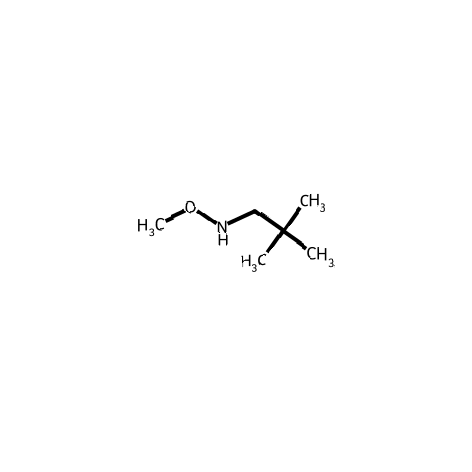 CONCC(C)(C)C